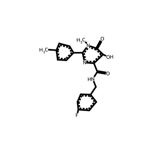 Cc1ccc(-c2nc(C(=O)NCc3ccc(F)cc3)c(O)c(=O)n2C)cc1